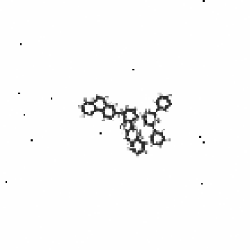 c1ccc(-c2nc(-c3ccccc3)nc(-c3ccc(-c4ccc5c(ccc6ccccc65)c4)c4oc5cc6ccccc6nc5c34)n2)cc1